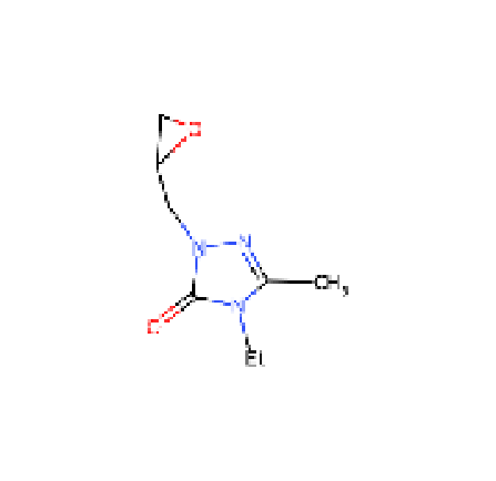 CCn1c(C)nn(CC2CO2)c1=O